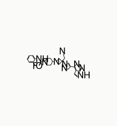 N#CCC1(n2cc(-c3ncnc4[nH]ccc34)cn2)CN(C2CCN(C(=O)Nc3ccccc3F)CC2)C1